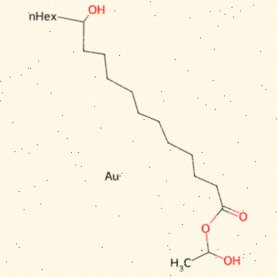 CCCCCCC(O)CCCCCCCCCCC(=O)OC(C)O.[Au]